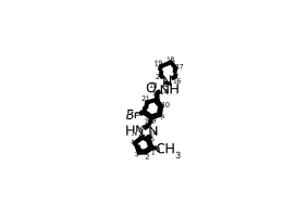 Cc1cccc2[nH]c(-c3ccc(C(=O)NN4CCCCC4)cc3Br)nc12